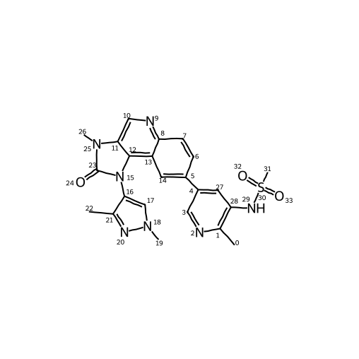 Cc1ncc(-c2ccc3ncc4c(c3c2)n(-c2cn(C)nc2C)c(=O)n4C)cc1NS(C)(=O)=O